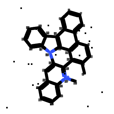 Cc1ccc2c3ccccc3c3c4ccccc4n4c5cc6ccccc6[n+](C)c5c1c2c34